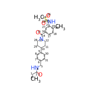 CCC(=O)NCc1ccc(C2CCN(C(=O)c3ccc(C)c(NS(C)(=O)=O)c3)CC2)cc1